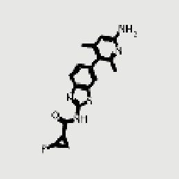 Cc1cc(N)nc(C)c1-c1ccc2nc(NC(=O)C3CC3F)sc2c1